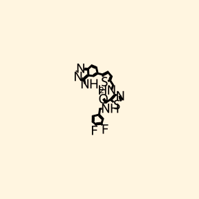 Nc1ncnc2ccc(-c3ccc(CNc4ncsc4C(=O)NCc4ccc(F)c(F)c4)s3)cc12